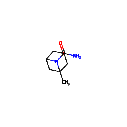 CC12CCCC(C1)N2C(N)=O